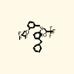 OC(CN(Cc1cccc(OCC(F)(F)F)c1)c1cccc(Cc2ccccc2)c1)C(F)(F)F